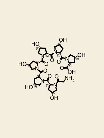 NCC(=O)N1C[C@H](O)C[C@H]1C(=O)N1C[C@H](O)C[C@H]1C(=O)N1C[C@H](O)C[C@H]1C(=O)N1C[C@H](O)C[C@H]1C(=O)N1C[C@H](O)C[C@H]1C(=O)N1C[C@H](O)C[C@H]1C(=O)O